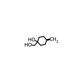 C=C1CCC(O)(CO)CC1